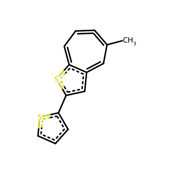 CC1=C=CC=c2sc(-c3cccs3)cc2=C1